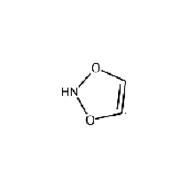 [C]1=CONO1